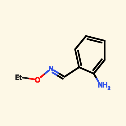 CCON=Cc1ccccc1N